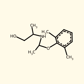 Cc1cccc(C)c1OC(C)NC(C)CO